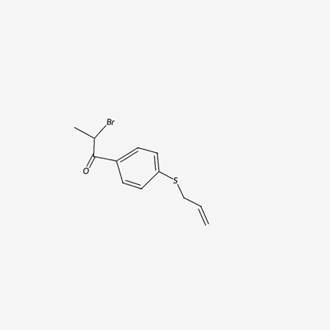 C=CCSc1ccc(C(=O)C(C)Br)cc1